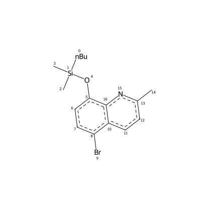 CCCC[Si](C)(C)Oc1ccc(Br)c2ccc(C)nc12